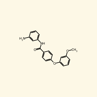 COc1cccc(Oc2ccc(C(=O)Nc3cccc(N)c3)cc2)c1